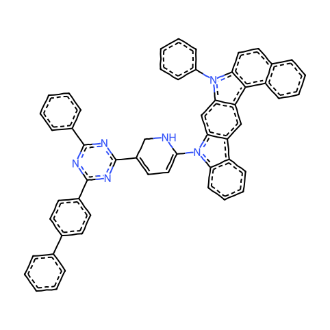 C1=C(c2nc(-c3ccccc3)nc(-c3ccc(-c4ccccc4)cc3)n2)CNC(n2c3ccccc3c3cc4c5c6ccccc6ccc5n(-c5ccccc5)c4cc32)=C1